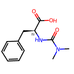 CN(C)C(=O)N[C@@H](Cc1ccccc1)C(=O)O